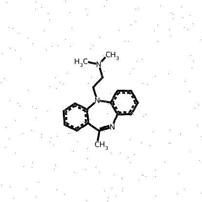 CC1=Nc2ccccc2N(CCN(C)C)c2ccccc21